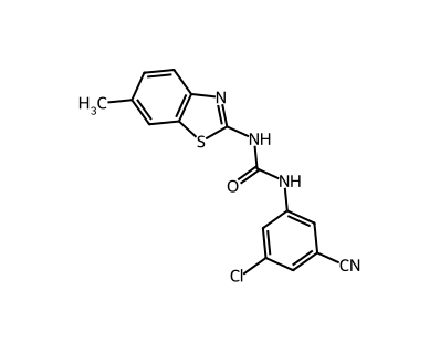 Cc1ccc2nc(NC(=O)Nc3cc(Cl)cc(C#N)c3)sc2c1